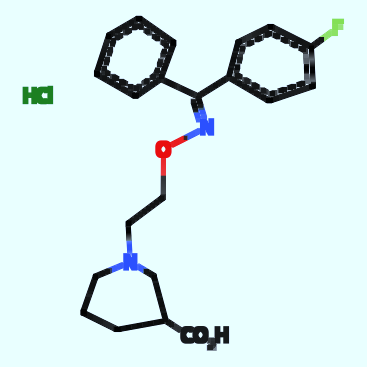 Cl.O=C(O)C1CCCN(CCO/N=C(\c2ccccc2)c2ccc(F)cc2)C1